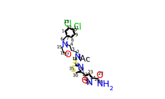 CC(=O)N(C[C@@H]1CN(Cc2ccc(Cl)c(Cl)c2)CCO1)Sc1nc(-c2cc(C(N)=O)no2)cs1